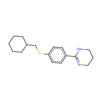 c1cc(C2=NCCCN2)ccc1SCC1CCCCC1